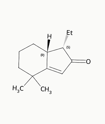 CC[C@@H]1C(=O)C=C2[C@@H]1CCCC2(C)C